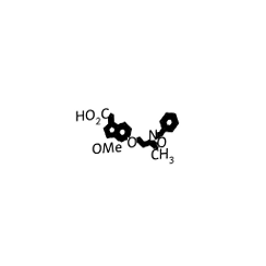 COc1c(OCCc2nc(-c3ccccc3)oc2C)ccc2c1CC/C2=C\C(=O)O